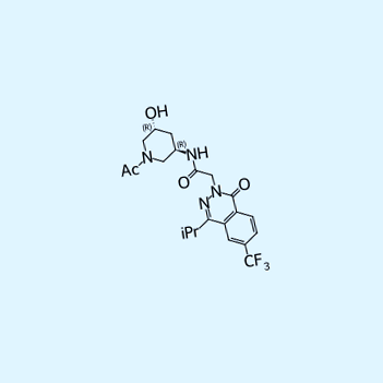 CC(=O)N1C[C@H](O)C[C@@H](NC(=O)Cn2nc(C(C)C)c3cc(C(F)(F)F)ccc3c2=O)C1